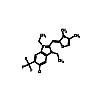 CCn1c(C=C2OC=C(C)N2C)[n+](CC)c2cc(C(F)(F)F)c(Cl)cc21